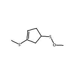 COSC1CC=C(SC)C1